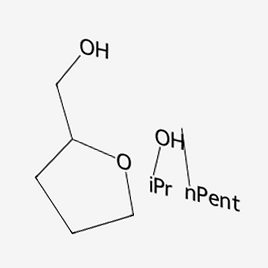 CC(C)O.CCCCCC.OCC1CCCO1